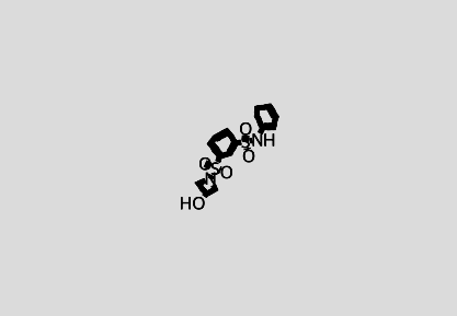 O=S(=O)(NC1=CC=CCC1)c1cccc(S(=O)(=O)N2CC(O)C2)c1